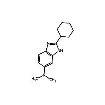 CN(C)c1ccc2nc(C3CCCCC3)[nH]c2c1